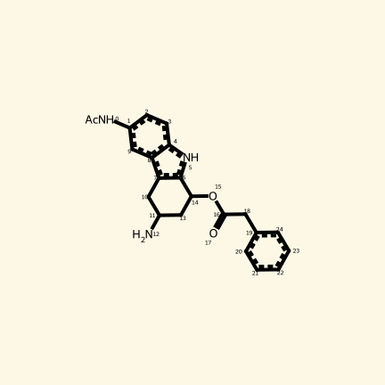 CC(=O)Nc1ccc2[nH]c3c(c2c1)CC(N)CC3OC(=O)Cc1ccccc1